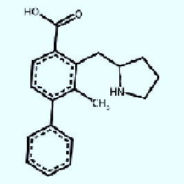 Cc1c(-c2ccccc2)ccc(C(=O)O)c1CC1CCCN1